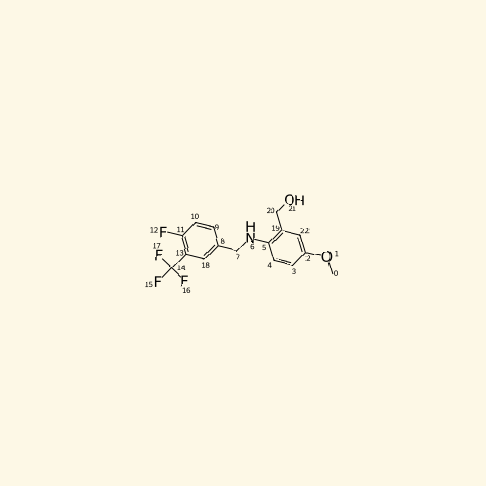 COc1ccc(NCc2ccc(F)c(C(F)(F)F)c2)c(CO)c1